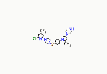 C=C1CC(N2CCNCC2)CN1c1ccc(SN2CCN(c3cc(C(F)(F)F)cc(Cl)n3)CC2)cc1